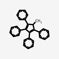 CC1C(c2ccccc2)=C(c2ccccc2)C(c2ccccc2)=C1c1ccccc1